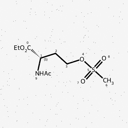 CCOC(=O)[C@H](CCOS(C)(=O)=O)NC(C)=O